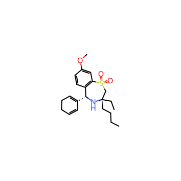 CCCC[C@]1(CC)CS(=O)(=O)c2cc(OC)ccc2[C@@H](C2=CCCC=C2)N1